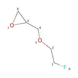 FCCOCC1CO1